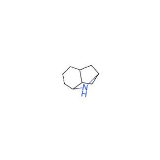 C1CC2CC3CC2C(C1)N3